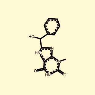 Cn1c(=O)[nH]c(=O)c2[nH]c(C(O)c3ccccc3)nc21